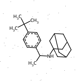 CC(NC12CC3CC(CC(C3)C1)C2)c1ccc(C(C)(C)C)cc1